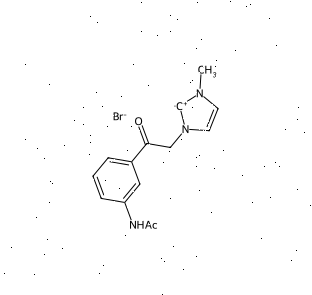 CC(=O)Nc1cccc(C(=O)CN2[C+]N(C)C=C2)c1.[Br-]